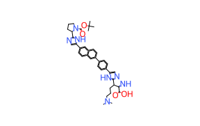 CN(C)CCCC(C(=N)C(=O)O)c1ncc(-c2ccc(-c3ccc4cc(-c5cnc(C6CCCN6C(=O)OC(C)(C)C)[nH]5)ccc4c3)cc2)[nH]1